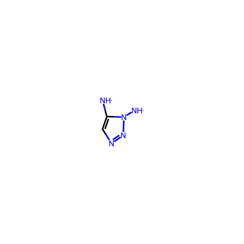 [NH]c1cnnn1[NH]